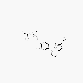 CC(C)CC(C)(COc1ccc(-c2ccnc3cc(C4CC4)nn23)cc1C(F)(F)F)OC(N)=O